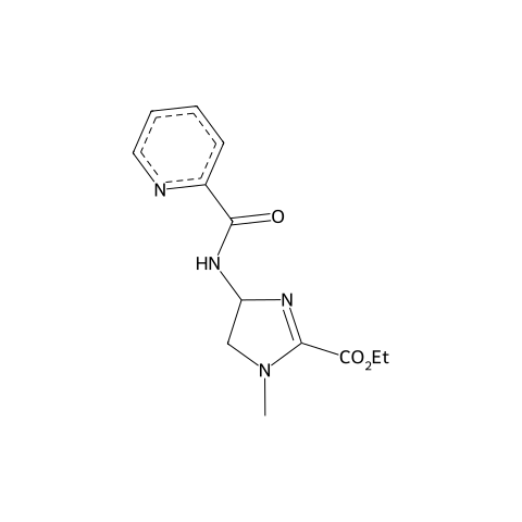 CCOC(=O)C1=NC(NC(=O)c2ccccn2)CN1C